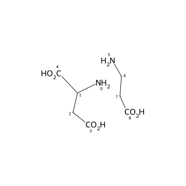 NC(CC(=O)O)C(=O)O.NCCC(=O)O